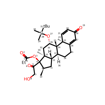 CCC(=O)O[C@]1(C(=O)CO)[C@H](C)C[C@H]2[C@@H]3CCC4=CC(=O)C=C[C@]4(C)[C@@]3(C)[C@@H](O[Si](C)(C)C(C)(C)C)C[C@@]21C